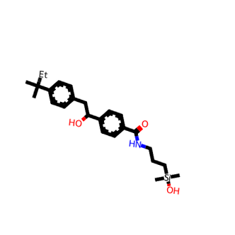 CCC(C)(C)c1ccc(CC(O)c2ccc(C(=O)NCCC[Si](C)(C)O)cc2)cc1